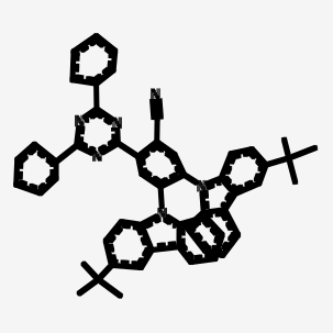 CC(C)(C)c1ccc2c(c1)c1ccccc1n2-c1cc(C#N)c(-c2nc(-c3ccccc3)nc(-c3ccccc3)n2)cc1-n1c2ccccc2c2cc(C(C)(C)C)ccc21